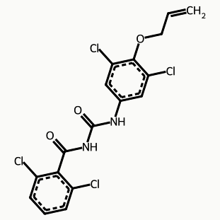 C=CCOc1c(Cl)cc(NC(=O)NC(=O)c2c(Cl)cccc2Cl)cc1Cl